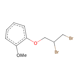 COc1ccccc1OCC(Br)CBr